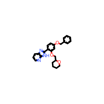 c1ccc(COc2ccc(-c3nc4cccnc4[nH]3)c(OCC3CCCCO3)c2)cc1